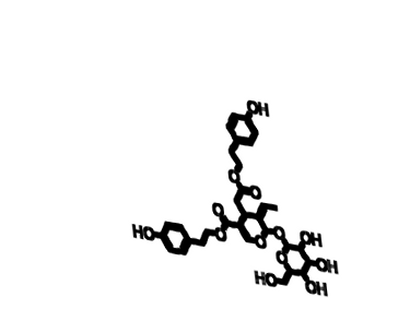 C/C=C1\C(OC2OC(CO)C(O)C(O)C2O)OC=C(C(=O)OCCc2ccc(O)cc2)C1CC(=O)OCCc1ccc(O)cc1